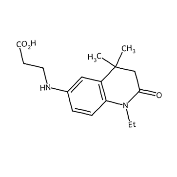 CCN1C(=O)CC(C)(C)c2cc(NCCC(=O)O)ccc21